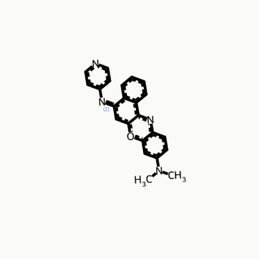 CN(C)c1ccc2nc3c4ccccc4/c(=N\c4ccncc4)cc-3oc2c1